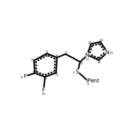 CCCC(C)SC(Cc1ccc(F)c(F)c1)n1ccnc1